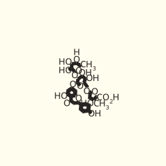 CC1OC(OC2C(Oc3cc(O)c4c(c3)OC(c3ccc(O)cc3)CC4=O)OC(COC(=O)CC(C)(O)CC(=O)O)C(O)C2O)C(O)C(O)C1O